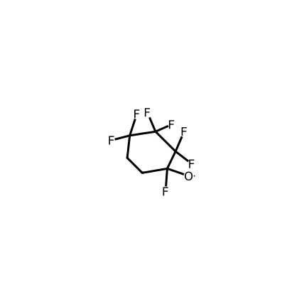 [O]C1(F)CCC(F)(F)C(F)(F)C1(F)F